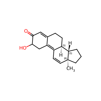 C[C@]12C=CC3=C4CC(O)C(=O)C=C4CC[C@H]3[C@@H]1CCC2